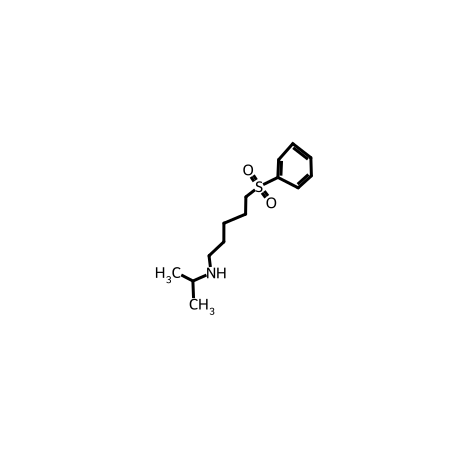 CC(C)NCCCCCS(=O)(=O)c1ccccc1